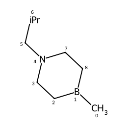 CB1CCN(CC(C)C)CC1